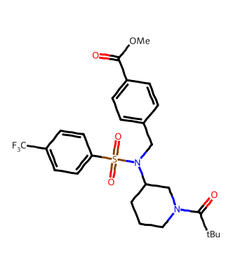 COC(=O)c1ccc(CN(C2CCCN(C(=O)C(C)(C)C)C2)S(=O)(=O)c2ccc(C(F)(F)F)cc2)cc1